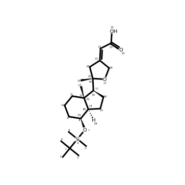 CC(C)(C)[Si](C)(C)O[C@H]1CCC[C@@]2(C)[C@H]1CC[C@@H]2[C@]1(C)CC(=CC(=O)O)CO1